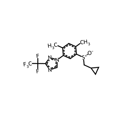 Cc1cc(C)c([S+]([O-])CC2CC2)cc1-n1cnc(C(F)(F)C(F)(F)F)n1